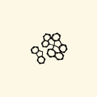 c1ccc2c(c1)-c1ccccc1C2(c1cccc2ccccc12)c1cccc2ccccc12.c1ccc2c(c1)Cc1ccccc1-2